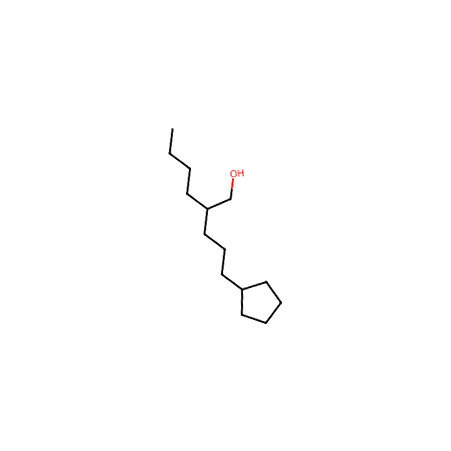 CCCCC(CO)CCCC1CCCC1